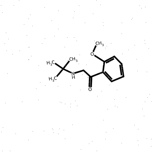 COc1ccccc1C(=O)CNC(C)(C)C